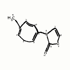 CC1=CCC=C(n2ccoc2=O)C=C1